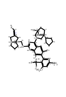 Cc1cc(N)nc(-c2c(F)cc3c(N4C[C@@H]5CC[C@](C6CCCC6)(C4)N5)nc(OC[C@@]45CCCN4C/C(=C\F)C5)nc3c2F)c1C(F)(F)F